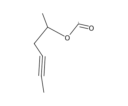 CC#CCC(C)O[C]=O